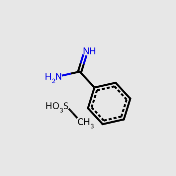 CS(=O)(=O)O.N=C(N)c1ccccc1